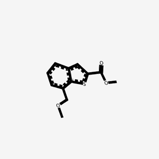 COCc1cccc2cc(C(=O)OC)sc12